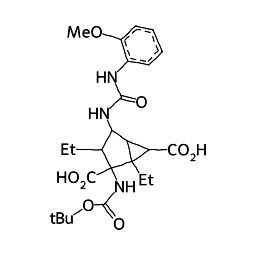 CCC1C(NC(=O)Nc2ccccc2OC)C2C(C(=O)O)C2(CC)C1(NC(=O)OC(C)(C)C)C(=O)O